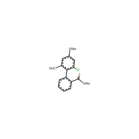 COC(=S)c1ccccc1-c1c(Cl)cc(OC)cc1C=O